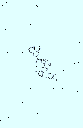 Cc1cnc2c(Cl)cc(C(=O)NC[C@](O)(c3cc4c(c(-c5cc(F)c(Cl)cc5F)n3)OC[C@H]4C)C3CC3)cc2c1